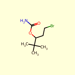 CC(C)(C)C(CCBr)OC(N)=O